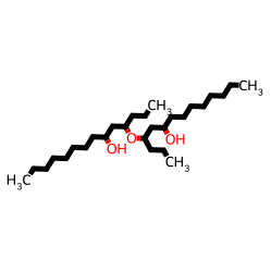 CCCCCCCCC(O)CC(CCC)OC(CCC)CC(O)CCCCCCCC